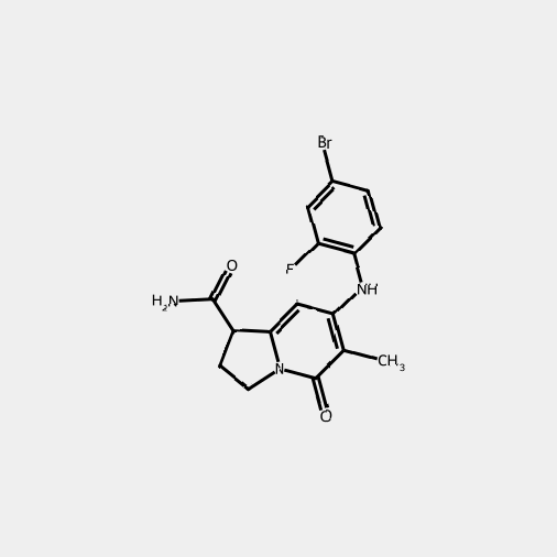 Cc1c(Nc2ccc(Br)cc2F)[c]c2n(c1=O)CCC2C(N)=O